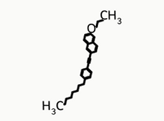 CCCCCCCCc1ccc(C#Cc2ccc3cc(OCCCC)ccc3c2)cc1